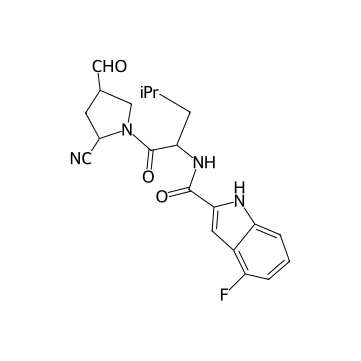 CC(C)CC(NC(=O)c1cc2c(F)cccc2[nH]1)C(=O)N1CC(C=O)CC1C#N